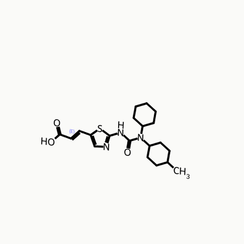 CC1CCC(N(C(=O)Nc2ncc(/C=C/C(=O)O)s2)C2CCCCC2)CC1